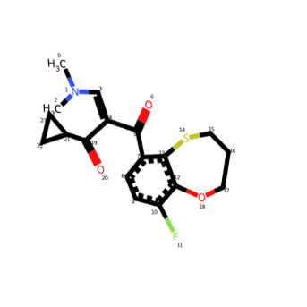 CN(C)C=C(C(=O)c1ccc(F)c2c1SCCCO2)C(=O)C1CC1